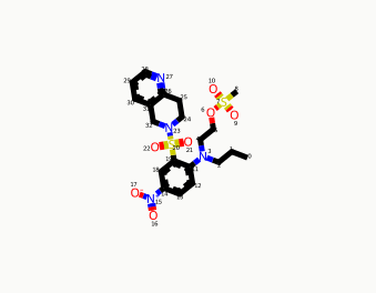 CCCN(CCOS(C)(=O)=O)c1ccc([N+](=O)[O-])cc1S(=O)(=O)N1CCc2ncccc2C1